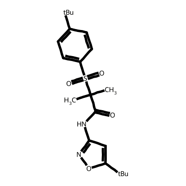 CC(C)(C)c1ccc(S(=O)(=O)C(C)(C)C(=O)Nc2cc(C(C)(C)C)on2)cc1